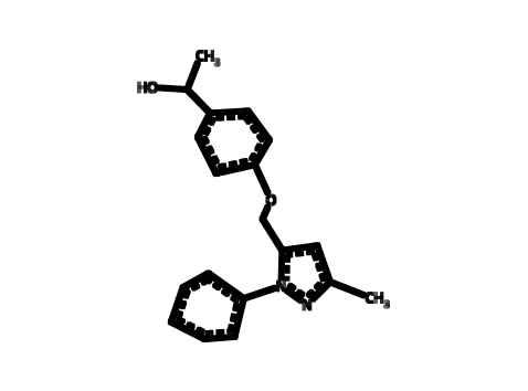 Cc1cc(COc2ccc(C(C)O)cc2)n(-c2ccccc2)n1